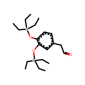 CC[Si](CC)(CC)Oc1ccc(CC=O)cc1O[Si](CC)(CC)CC